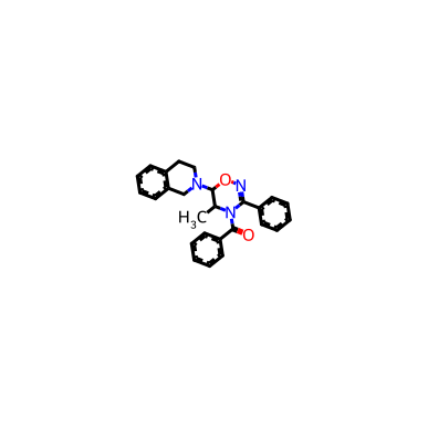 CC1C(N2CCc3ccccc3C2)ON=C(c2ccccc2)N1C(=O)c1ccccc1